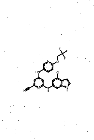 N#Cc1cc(Nc2ccc(OCC(F)(F)F)nc2)cc(Nc2cc(Cl)c3cc[nH]c3c2)n1